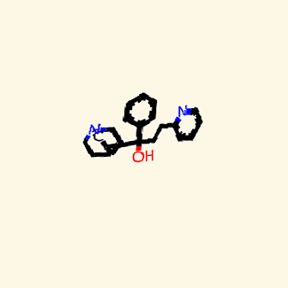 OC(CCc1ccccn1)(c1ccccc1)C1CN2CCC1CC2